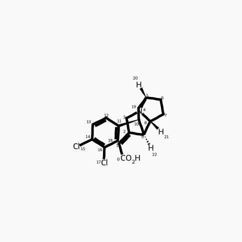 O=C(O)C=C1CN2[C@H]3CC[C@@H]2[C@@H]1[C@@H](c1ccc(Cl)c(Cl)c1)C3